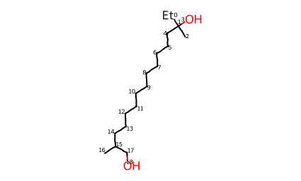 CCC(C)(O)CCCCCCCCCCCC(C)CO